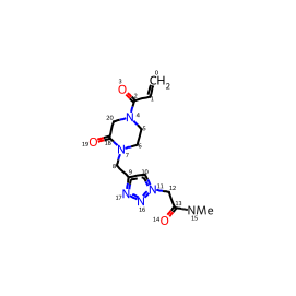 C=CC(=O)N1CCN(Cc2cn(CC(=O)NC)nn2)C(=O)C1